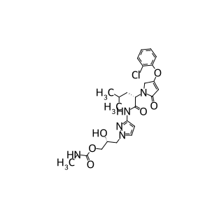 CNC(=O)OC[C@H](O)Cn1ccc(NC(=O)[C@H](CC(C)C)N2CC(Oc3ccccc3Cl)=CC2=O)n1